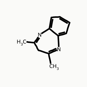 CC1=Nc2ccccc2N=C(C)C1